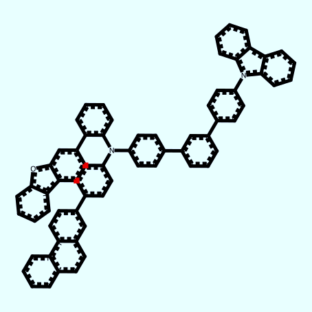 c1cc(-c2ccc(N(c3ccc(-c4ccc5c(ccc6ccccc65)c4)cc3)c3ccccc3-c3ccc4c(c3)oc3ccccc34)cc2)cc(-c2ccc(-n3c4ccccc4c4ccccc43)cc2)c1